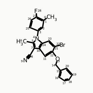 Cc1cc(-n2c(C)c(C#N)c3cc(OCc4ccccc4)c(Br)cc32)ccc1F